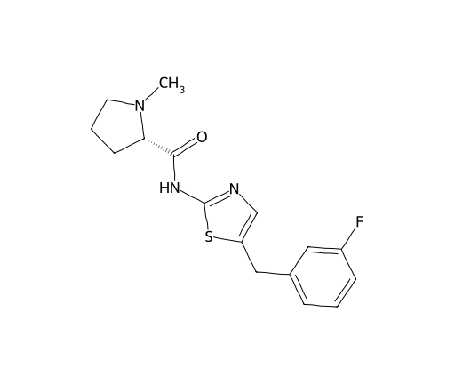 CN1CCC[C@H]1C(=O)Nc1ncc(Cc2cccc(F)c2)s1